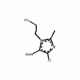 CNc1c(Cl)nc(C)n1CCO